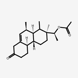 CC(=O)O[C@@H](C)[C@@]1(C)CC[C@H]2[C@H](C1C)[C@H](C)C=C1CC(=O)CC[C@@H]12